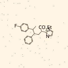 CCOC(=O)C(CC(c1ccccc1)C(C)c1ccc(F)cc1)c1nccs1